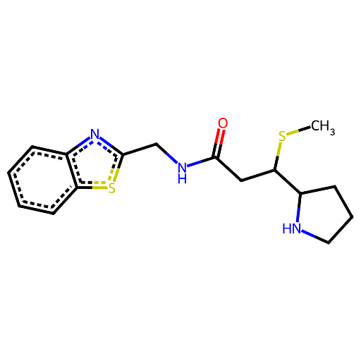 CSC(CC(=O)NCc1nc2ccccc2s1)C1CCCN1